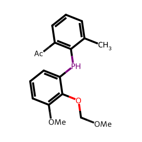 COCOc1c(OC)cccc1Pc1c(C)cccc1C(C)=O